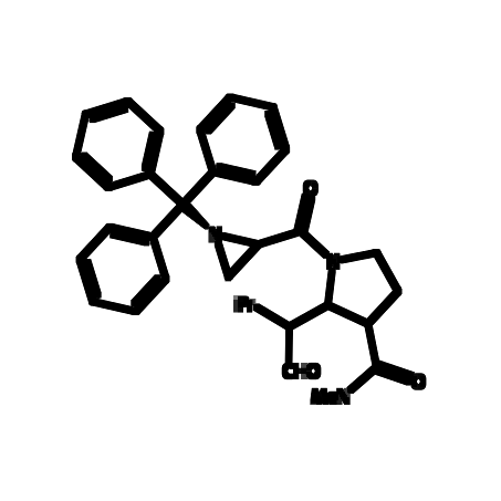 CNC(=O)C1CCN(C(=O)C2C[N@@]2C(c2ccccc2)(c2ccccc2)c2ccccc2)C1C(C=O)C(C)C